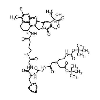 CC[C@@]1(O)C(=O)OCc2c1cc1n(c2=O)Cc2c-1nc1cc(F)c(C)c3c1c2[C@@H](NC(=O)CCCNC(=O)CNC(=O)[C@H](Cc1ccccc1)NC(=O)CNC(=O)CN(CCNC(=O)OC(C)(C)C)CC(=O)OC(C)(C)C)CC3